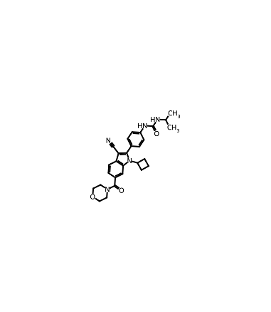 CC(C)NC(=O)Nc1ccc(-c2c(C#N)c3ccc(C(=O)N4CCOCC4)cc3n2C2CCC2)cc1